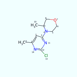 Cc1cc(N2CCOCC2C)nc(Cl)n1